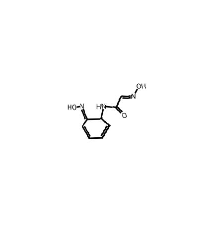 O=C(C=NO)NC1C=CC=CC1=NO